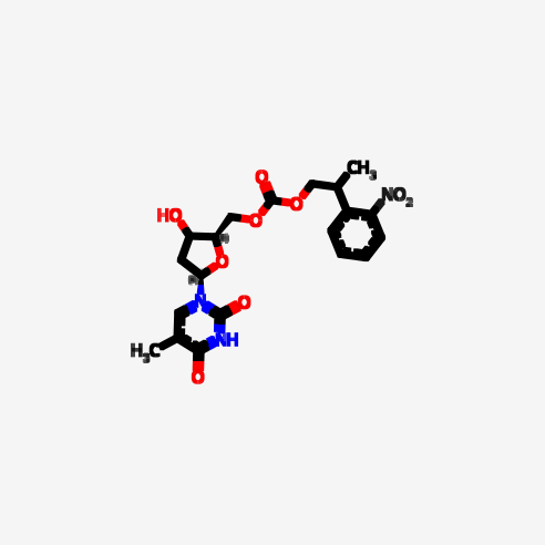 Cc1cn([C@H]2CC(O)[C@@H](COC(=O)OCC(C)c3ccccc3[N+](=O)[O-])O2)c(=O)[nH]c1=O